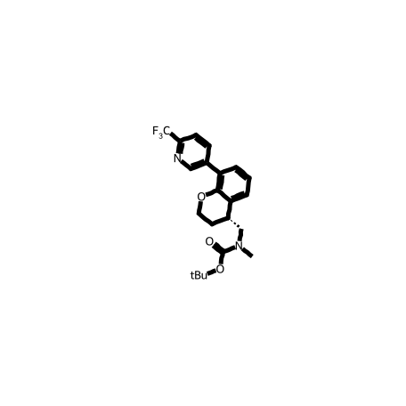 CN(C[C@@H]1CCOc2c(-c3ccc(C(F)(F)F)nc3)cccc21)C(=O)OC(C)(C)C